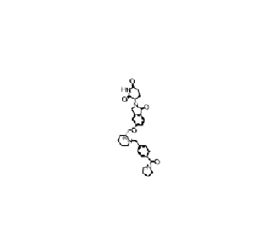 O=C1CCC(N2Cc3cc(OC[C@H]4CCCCN4Cc4ccc(C(=O)N5CCCC5)cc4)ccc3C2=O)C(=O)N1